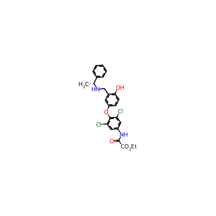 CCOC(=O)C(=O)Nc1cc(Cl)c(Oc2ccc(O)c(CN[C@H](C)c3ccccc3)c2)c(Cl)c1